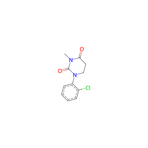 CN1C(=O)CCN(c2ccccc2Cl)C1=O